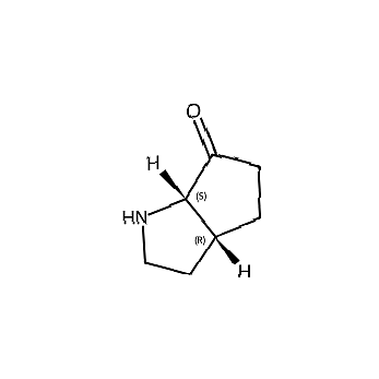 O=C1CC[C@@H]2CCN[C@H]12